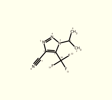 CC(C)n1nnc(C#N)c1C(F)(F)F